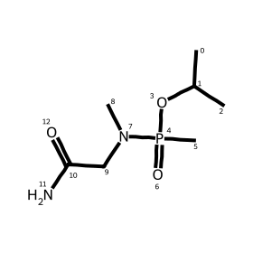 CC(C)OP(C)(=O)N(C)CC(N)=O